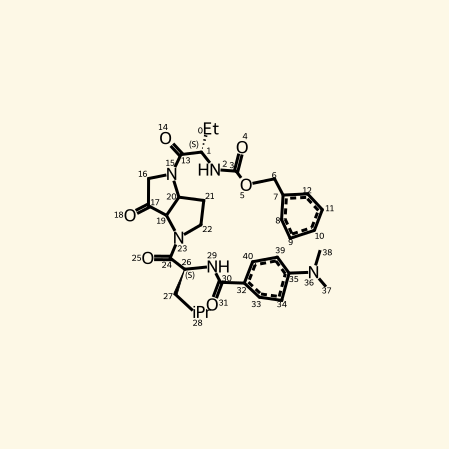 CC[C@H](NC(=O)OCc1ccccc1)C(=O)N1CC(=O)C2C1CCN2C(=O)[C@H](CC(C)C)NC(=O)c1ccc(N(C)C)cc1